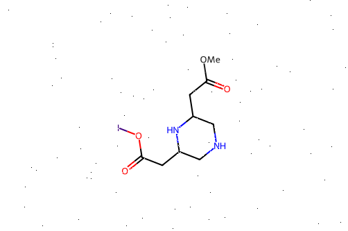 COC(=O)CC1CNCC(CC(=O)OI)N1